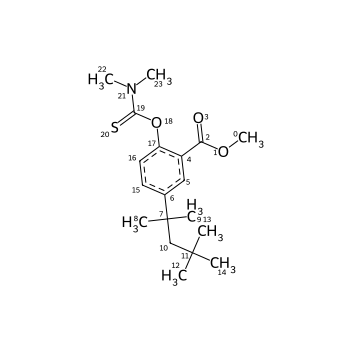 COC(=O)c1cc(C(C)(C)CC(C)(C)C)ccc1OC(=S)N(C)C